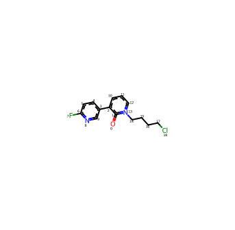 O=c1c(-c2ccc(F)nc2)cccn1CCCCCl